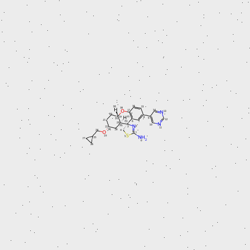 NC1=N[C@]2(CS1)c1cc(-c3cncnc3)ccc1O[C@H]1CC[C@@H](OCC3CC3)C[C@@H]12